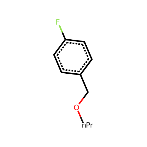 CCCOCc1ccc(F)cc1